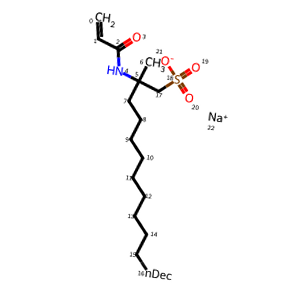 C=CC(=O)NC(C)(CCCCCCCCCCCCCCCCCCC)CS(=O)(=O)[O-].[Na+]